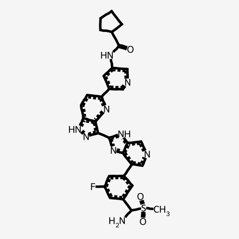 CS(=O)(=O)C(N)c1cc(F)cc(-c2cncc3[nH]c(-c4n[nH]c5ccc(-c6cncc(NC(=O)C7CCCC7)c6)nc45)nc23)c1